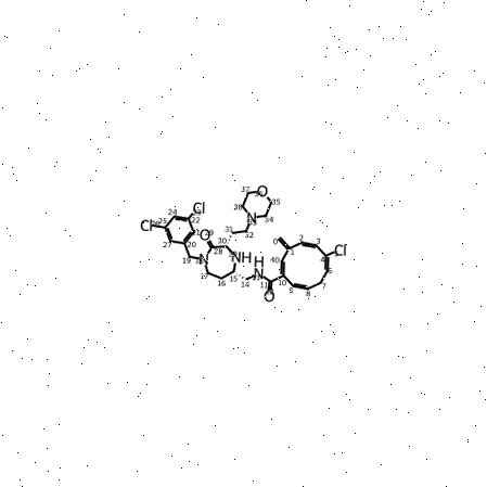 C=C1/C=C\C(Cl)=C/C/C=C\C(C(=O)NC[C@@H]2CCN(Cc3cc(Cl)cc(Cl)c3)C(=O)[C@H](CCN3CCOCC3)N2)=C/1